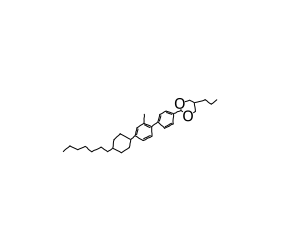 CCCCCCCC1CCC(c2ccc(-c3ccc(C4OCC(CCC)CO4)cc3)c(C)c2)CC1